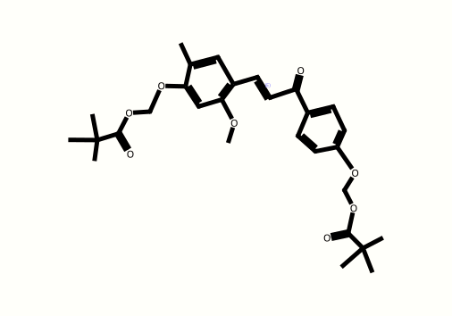 COc1cc(OCOC(=O)C(C)(C)C)c(C)cc1/C=C/C(=O)c1ccc(OCOC(=O)C(C)(C)C)cc1